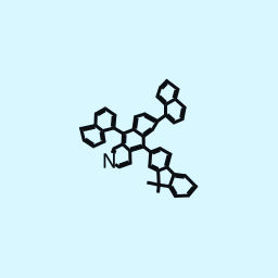 CC1(C)c2ccccc2-c2ccc(-c3c4cc(-c5cccc6ccccc56)ccc4c(-c4cccc5ccccc45)c4cnccc34)cc21